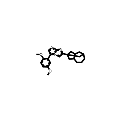 COc1ccc(OC)c(-c2csc3nc(C45CC6CCCC(C4)C(C6)C5)cn23)c1